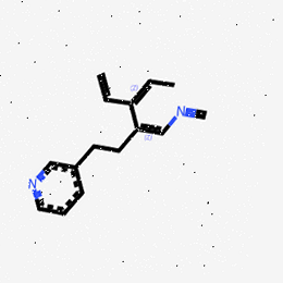 C=CC(=C/C)/C(=C\N=C)CCc1cccnc1